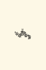 Fc1ccc(-c2ccnc3[nH]c(-c4n[nH]c5cnc(-c6cncc(CN7CCC(F)(F)C7)c6)cc45)cc23)cc1